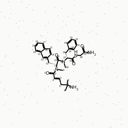 CN(C(=O)/C=C/CC(C)(C)N)[C@H](Cc1ccc2ccccc2c1)C(=O)N(C)[C@H](Cc1ccccc1)C(=O)NCC(N)=O